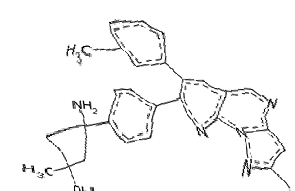 Cc1cccc(-c2cc3cnc4cc(C)nn4c3nc2-c2ccc(C3(N)CC(C)(O)C3)cc2)c1